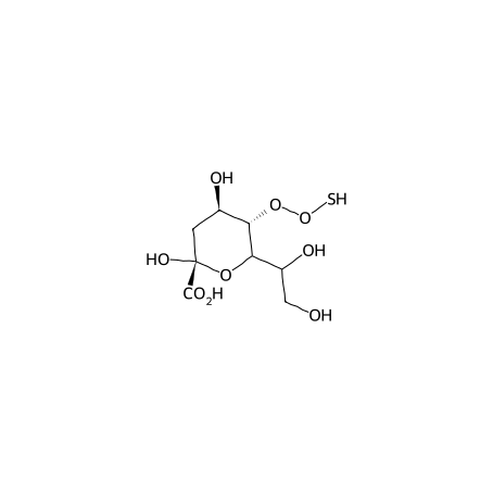 O=C(O)[C@@]1(O)C[C@@H](O)[C@H](OOS)C(C(O)CO)O1